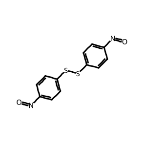 O=Nc1ccc(SSc2ccc(N=O)cc2)cc1